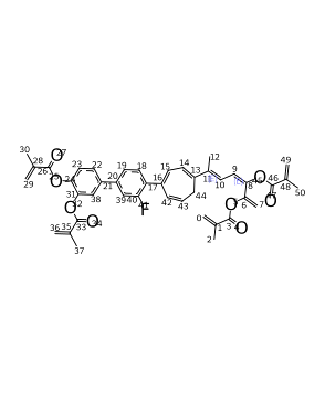 C=C(C)C(=O)OC(=C)/C(=C\C=C(/C)C1=CC=C(c2ccc(-c3ccc(OC(=O)C(=C)C)c(OC(=O)C(=C)C)c3)cc2F)C=CC1)OC(=O)C(=C)C